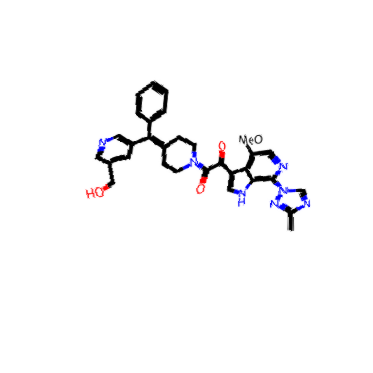 COc1cnc(-n2cnc(C)n2)c2[nH]cc(C(=O)C(=O)N3CCC(=C(c4ccccc4)c4cncc(CO)c4)CC3)c12